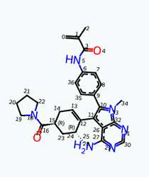 C=C(C)C(=O)Nc1ccc(-c2c(C3=CC[C@H](C(=O)N4CCCC4)C[C@H]3C)c3c(N)ncnc3n2C)cc1